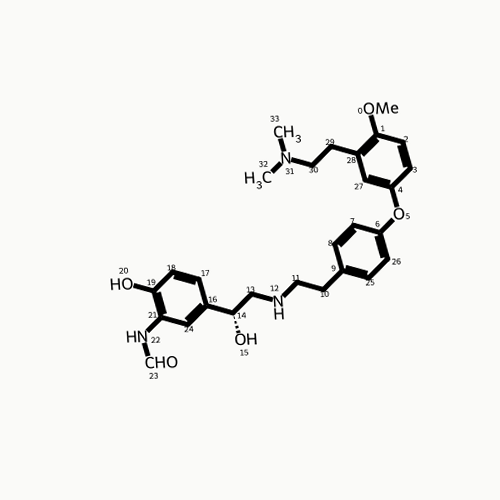 COc1ccc(Oc2ccc(CCNC[C@H](O)c3ccc(O)c(NC=O)c3)cc2)cc1CCN(C)C